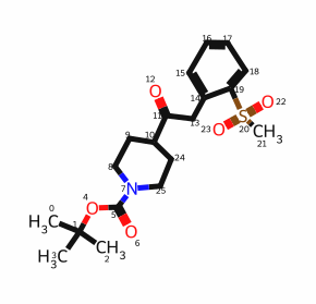 CC(C)(C)OC(=O)N1CCC(C(=O)Cc2ccccc2S(C)(=O)=O)CC1